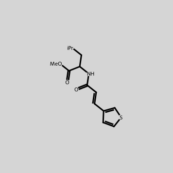 COC(=O)C(CC(C)C)NC(=O)C=Cc1ccsc1